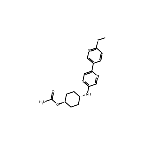 COc1ncc(-c2cnc(N[C@H]3CC[C@H](OC(N)=O)CC3)cn2)cn1